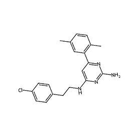 Cc1ccc(C)c(-c2cc(NCCc3ccc(Cl)cc3)nc(N)n2)c1